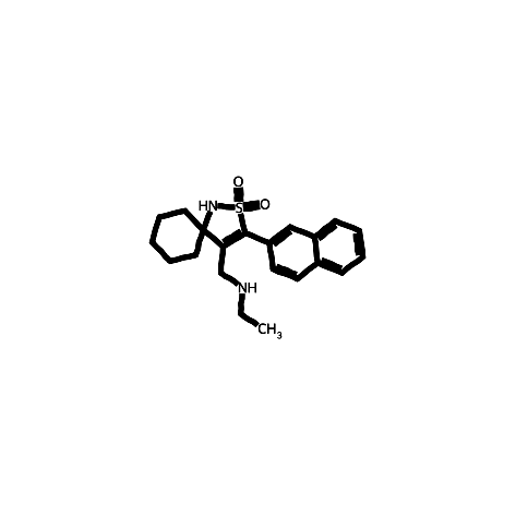 CCNCC1=C(c2ccc3ccccc3c2)S(=O)(=O)NC12CCCCC2